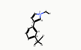 CCn1ccc(-c2cccc(C(C)(C)C)c2)c1